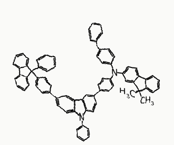 CC1(C)c2ccccc2-c2ccc(N(c3ccc(-c4ccccc4)cc3)c3ccc(-c4ccc5c(c4)c4cc(-c6ccc(C7(c8ccccc8)c8ccccc8-c8ccccc87)cc6)ccc4n5-c4ccccc4)cc3)cc21